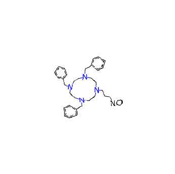 O=NCCCN1CCN(Cc2ccccc2)CCN(Cc2ccccc2)CCN(Cc2ccccc2)CC1